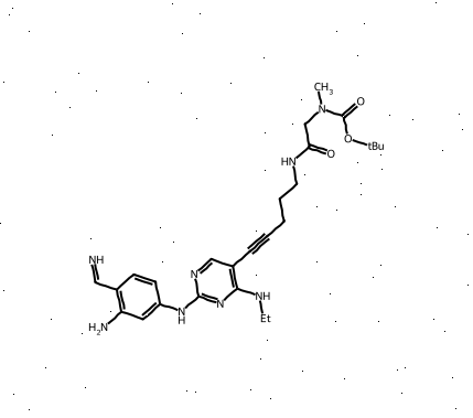 CCNc1nc(Nc2ccc(C=N)c(N)c2)ncc1C#CCCCNC(=O)CN(C)C(=O)OC(C)(C)C